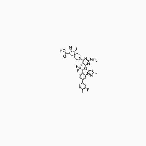 CCC1NC(C(=O)O)CC12CCN(c1cc(O[C@H](c3ccc(-c4ccc(C)c(F)c4)cc3-n3ccc(C)n3)C(F)(F)F)nc(N)n1)CC2